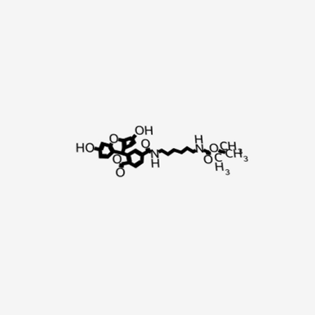 CC(C)(C)OC(=O)NCCCCCCNC(=O)c1ccc2c(c1)C1(OC2=O)c2ccc(O)cc2Oc2cc(O)ccc21